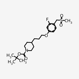 CC(C)(C)OC(=O)N1CCC(CCCOc2ccc(CS(C)(=O)=O)c(F)c2)CC1